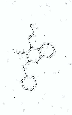 CC=Cn1c(=O)c(Sc2ccccc2)nc2ccccc21